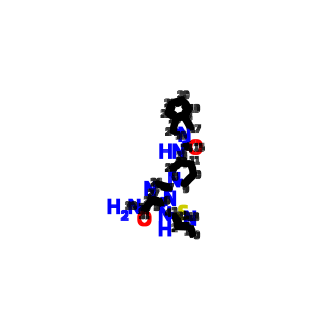 Cc1cc(Nc2nc(N3CCC[C@@H](NC(=O)N4Cc5ccccc5C4)C3)cnc2C(N)=O)sn1